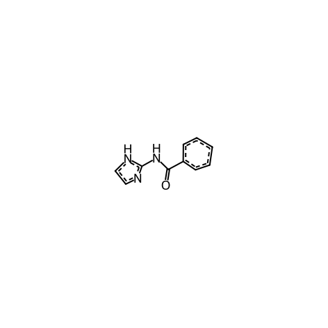 O=C(Nc1ncc[nH]1)c1ccccc1